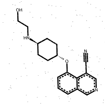 N#Cc1cncc2cccc(O[C@H]3CC[C@H](NCCO)CC3)c12